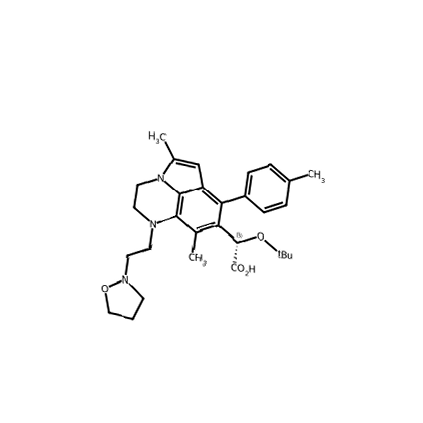 Cc1ccc(-c2c([C@H](OC(C)(C)C)C(=O)O)c(C)c3c4c2cc(C)n4CCN3CCN2CCCO2)cc1